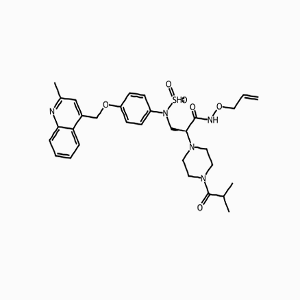 C=CCONC(=O)[C@H](CN(c1ccc(OCc2cc(C)nc3ccccc23)cc1)[SH](=O)=O)N1CCN(C(=O)C(C)C)CC1